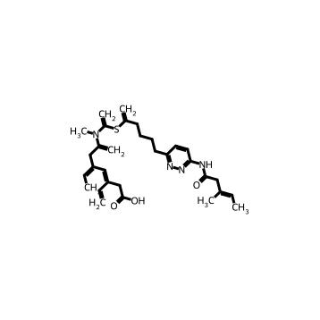 C=C/C(=C\C(=C/C)CC(=C)N(C)C(=C)SC(=C)CCCCc1ccc(NC(=O)C/C(C)=C/C)nn1)CC(=O)O